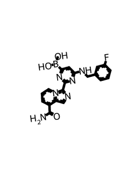 NC(=O)c1cccn2c(-c3nc(NCc4cccc(F)c4)cc(B(O)O)n3)ncc12